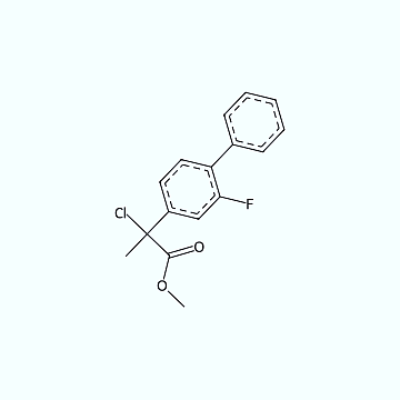 COC(=O)C(C)(Cl)c1ccc(-c2ccccc2)c(F)c1